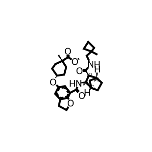 COC(=O)[C@]1(C)CC[C@H](Oc2cc3c(c(C(=O)N[C@@H]4[C@H]5CC[C@H](C5)[C@@H]4C(=O)NCC4(C)CCC4)c2)OCC3)CC1